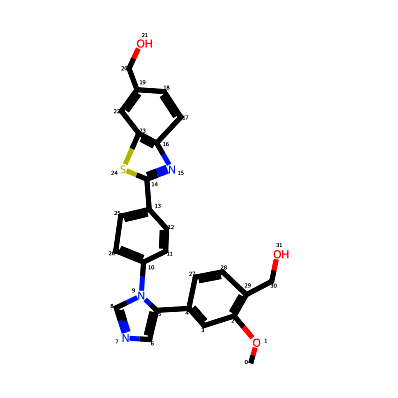 COc1cc(-c2cncn2-c2ccc(-c3nc4ccc(CO)cc4s3)cc2)ccc1CO